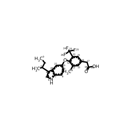 CCC(C)c1c[nH]c2ccc(Oc3c(C)cc(CC(=O)O)cc3C(F)(F)F)cc12